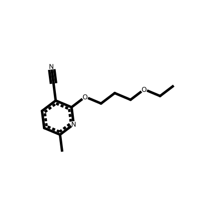 CCOCCCOc1nc(C)ccc1C#N